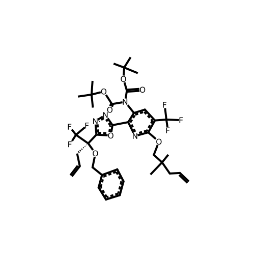 C=CCC(C)(C)COc1nc(-c2nnc([C@@](CC=C)(OCc3ccccc3)C(F)(F)F)o2)c(N(C(=O)OC(C)(C)C)C(=O)OC(C)(C)C)cc1C(F)(F)F